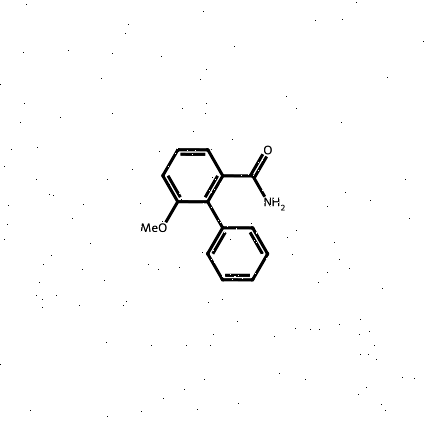 COc1cc[c]c(C(N)=O)c1-c1ccccc1